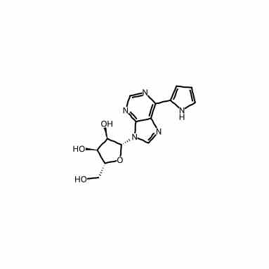 OC[C@H]1O[C@@H](n2cnc3c(-c4ccc[nH]4)ncnc32)[C@H](O)[C@@H]1O